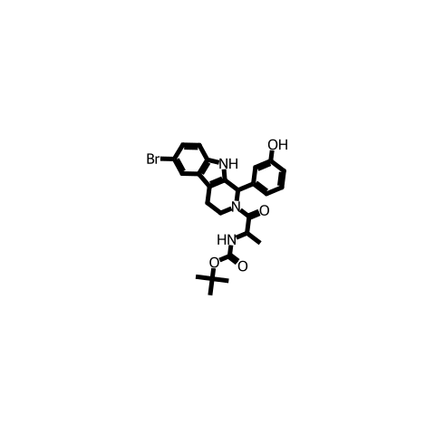 CC(NC(=O)OC(C)(C)C)C(=O)N1CCc2c([nH]c3ccc(Br)cc23)C1c1cccc(O)c1